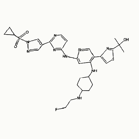 CC(C)(O)c1nc(-c2cnc(Nc3ccnc(-c4cnn(S(=O)(=O)C5CC5)c4)n3)cc2NC2CCC(NCCF)CC2)cs1